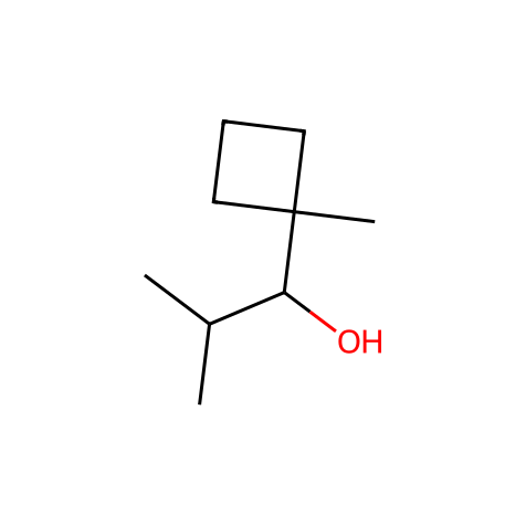 CC(C)C(O)C1(C)CCC1